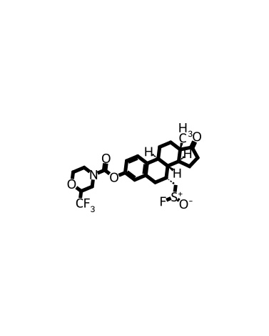 C[C@]12CC[C@@H]3c4ccc(OC(=O)N5CCOC(C(F)(F)F)C5)cc4C[C@@H](C[S+]([O-])F)[C@H]3[C@@H]1CCC2=O